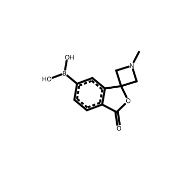 CN1CC2(C1)OC(=O)c1ccc(B(O)O)cc12